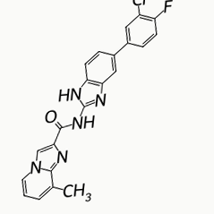 Cc1cccn2cc(C(=O)Nc3nc4cc(-c5ccc(F)c(Cl)c5)ccc4[nH]3)nc12